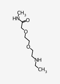 CCNCCOCCOCC(=O)NC